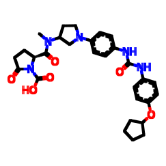 CN(C(=O)[C@@H]1CCC(=O)N1C(=O)O)C1CCN(c2ccc(NC(=O)Nc3ccc(OC4CCCC4)cc3)cc2)C1